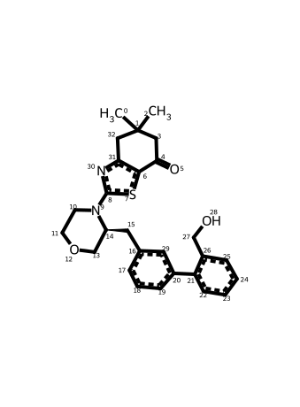 CC1(C)CC(=O)c2sc(N3CCOC[C@@H]3Cc3cccc(-c4ccccc4CO)c3)nc2C1